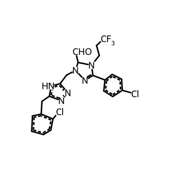 O=CC1N(Cc2nnc(Cc3ccccc3Cl)[nH]2)N=C(c2ccc(Cl)cc2)N1CCC(F)(F)F